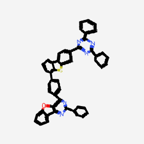 C1=CCCC(c2nc(-c3ccccc3)nc(-c3ccc4c(c3)sc3c(-c5ccc(-c6nc(-c7ccccc7)nc7c6oc6ccccc67)cc5)cccc34)n2)=C1